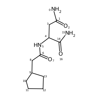 NC(=O)CC(NC(=O)CC1CCCC1)C(N)=O